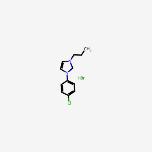 Br.CCCN1C=CN(c2ccc(Cl)cc2)C1